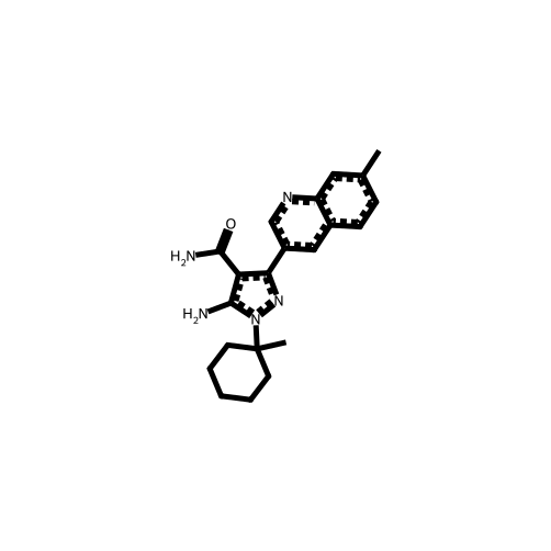 Cc1ccc2cc(-c3nn(C4(C)CCCCC4)c(N)c3C(N)=O)cnc2c1